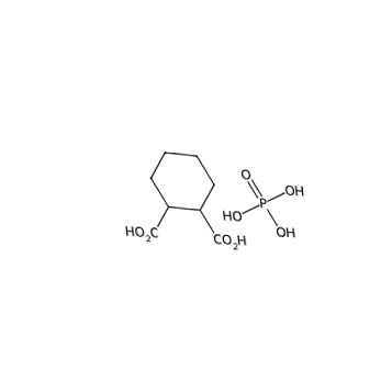 O=C(O)C1CCCCC1C(=O)O.O=P(O)(O)O